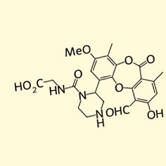 COc1cc(C2CNCCN2C(=O)NCC(=O)O)c2c(c1C)OC(=O)c1c(C)cc(O)c(C=O)c1O2